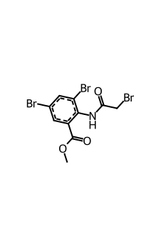 COC(=O)c1cc(Br)cc(Br)c1NC(=O)CBr